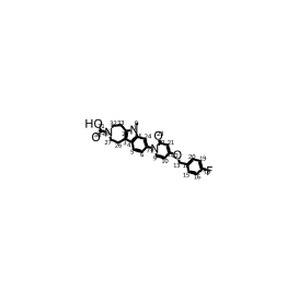 Cn1c2c(c3ccc(-n4ccc(OCc5ccc(F)cc5)cc4=O)cc31)CCN(C(=O)O)CC2